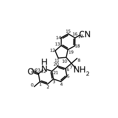 Cc1cc2ccc(C(C)(N)C3CCc4ccc(C#N)cc43)cc2[nH]c1=O